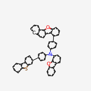 c1ccc2c(c1)ccc1c2oc2cccc(-c3ccc(N(c4ccc(-c5ccc6c(c5)sc5ccccc56)cc4)c4cccc5c4oc4ccccc45)cc3)c21